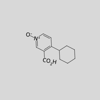 O=C(O)c1c[n+]([O-])ccc1C1CCCCC1